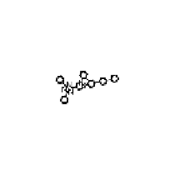 C1=CC(c2nc(-c3ccccc3)nc(-c3ccccc3)n2)=CN2B1c1ccc(-c3ccc(-c4ccccc4)cc3)cc1-c1ccccc12